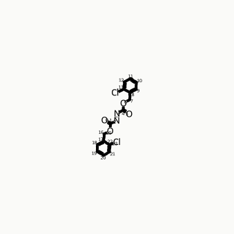 O=C(/N=N/C(=O)OCc1ccccc1Cl)OCc1ccccc1Cl